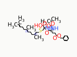 C=C(C)OC(=O)N[C@@H](CCC(=O)OCc1ccccc1)C(=O)N[C@@H](CSC/C=C(\C)CC/C=C(\C)CCC=C(C)C)C(=O)O